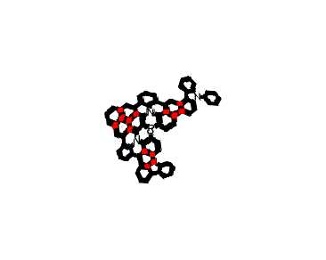 c1ccc(-c2cc3c4c(c2)N(c2c(-c5ccccc5)cccc2-c2ccccc2)c2cc(-n5c6ccccc6c6ccccc65)ccc2B4c2ccc(-c4ccc5c(c4)c4ccccc4n5-c4ccccc4)cc2N3c2c(-c3ccccc3)cccc2-c2ccccc2)cc1